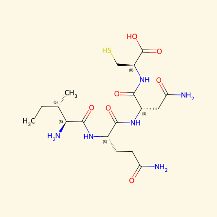 CC[C@H](C)[C@H](N)C(=O)N[C@@H](CCC(N)=O)C(=O)N[C@@H](CC(N)=O)C(=O)N[C@@H](CS)C(=O)O